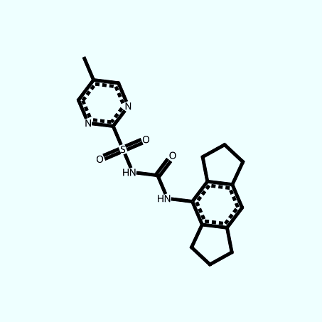 Cc1cnc(S(=O)(=O)NC(=O)Nc2c3c(cc4c2CCC4)CCC3)nc1